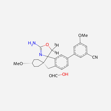 O=CO.[2H]C1([2H])OC(N)=NC12c1cc(-c3cc(C#N)cc(OC)c3)ccc1C[C@]21CC[C@@H](OC)CC1